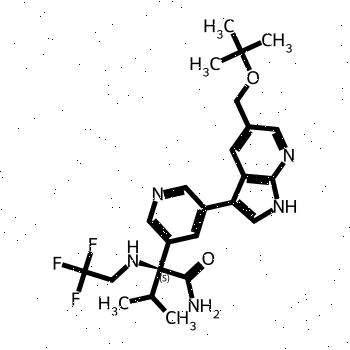 CC(C)[C@@](NCC(F)(F)F)(C(N)=O)c1cncc(-c2c[nH]c3ncc(COC(C)(C)C)cc23)c1